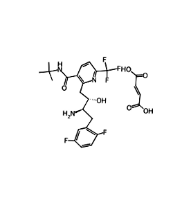 CC(C)(C)NC(=O)c1ccc(C(F)(F)F)nc1C[C@H](O)[C@H](N)Cc1cc(F)ccc1F.O=C(O)C=CC(=O)O